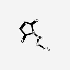 NONN1C(=O)C=CC1=O